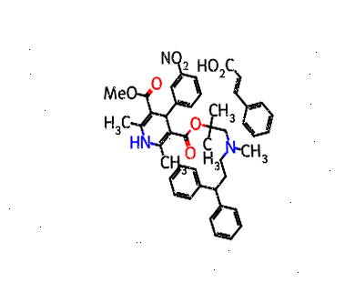 COC(=O)C1=C(C)NC(C)=C(C(=O)OC(C)(C)CN(C)CCC(c2ccccc2)c2ccccc2)C1c1cccc([N+](=O)[O-])c1.O=C(O)C=Cc1ccccc1